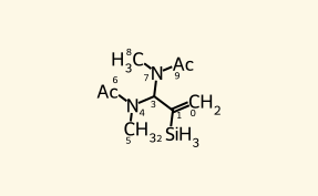 C=C([SiH3])C(N(C)C(C)=O)N(C)C(C)=O